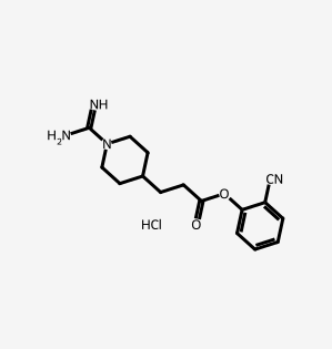 Cl.N#Cc1ccccc1OC(=O)CCC1CCN(C(=N)N)CC1